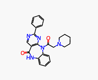 O=C1Nc2ccccc2N(C(=O)CN2CCCCC2)c2nc(-c3ccccc3)ncc21